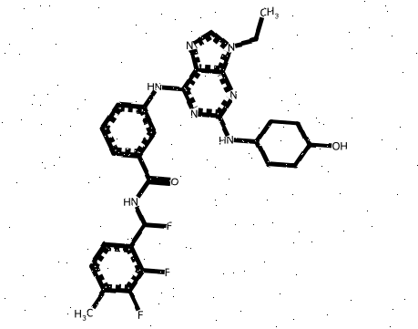 CCn1cnc2c(Nc3cccc(C(=O)NC(F)c4ccc(C)c(F)c4F)c3)nc(NC3CCC(O)CC3)nc21